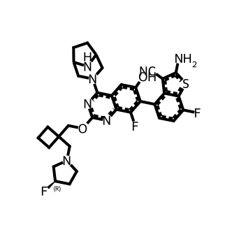 N#Cc1c(N)sc2c(F)ccc(-c3c(O)cc4c(N5CC6CCC(C5)N6)nc(OCC5(CN6CC[C@@H](F)C6)CCC5)nc4c3F)c12